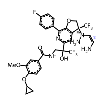 COc1cc(C(=O)NCC(O)(c2cc3c(c(-c4ccc(F)cc4)n2)OC[C@@]3(N(N)/C=C\N)C(F)(F)F)C(F)(F)F)ccc1OC1CC1